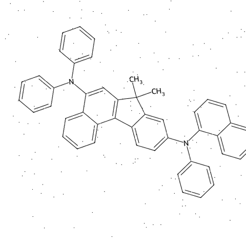 CC1(C)c2cc(N(c3ccccc3)c3cccc4ccccc34)ccc2-c2c1cc(N(c1ccccc1)c1ccccc1)c1ccccc21